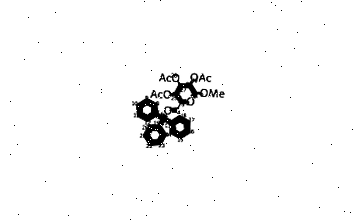 CO[C@H]1O[C@H](COC(c2ccccc2)(c2ccccc2)c2ccccc2)[C@@H](OC(C)=O)[C@H](OC(C)=O)[C@H]1OC(C)=O